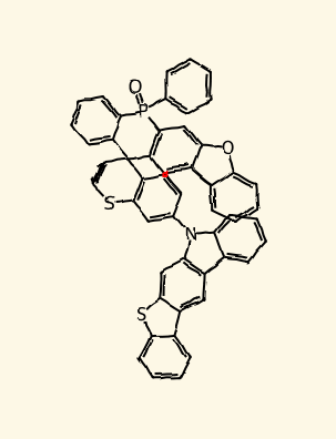 O=P1(c2ccccc2)c2ccccc2C2(c3ccccc3Sc3cc(-n4c5ccccc5c5cc6c(cc54)sc4ccccc46)ccc32)c2cc3c(cc21)oc1ccccc13